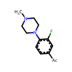 CC(=O)c1ccc(N2CCN(C)CC2)c(F)c1